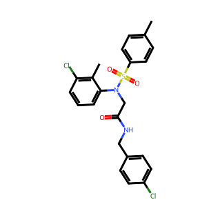 Cc1ccc(S(=O)(=O)N(CC(=O)NCc2ccc(Cl)cc2)c2cccc(Cl)c2C)cc1